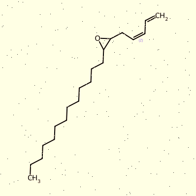 C=C/C=C\CC1OC1CCCCCCCCCCCCC